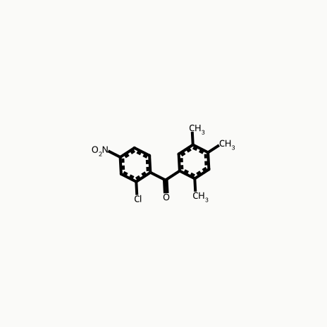 Cc1cc(C)c(C(=O)c2ccc([N+](=O)[O-])cc2Cl)cc1C